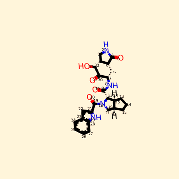 O=C1NCC[C@H]1C[C@H](NC(=O)[C@@H]1[C@H]2CCC[C@H]2CN1C(=O)c1cc2ccccc2[nH]1)C(=O)CO